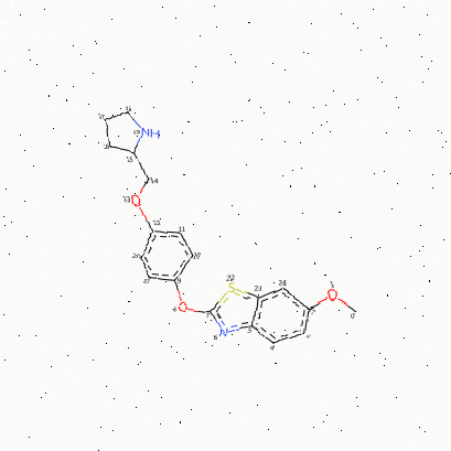 COc1ccc2nc(Oc3ccc(OCC4CCCN4)cc3)sc2c1